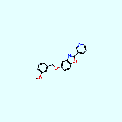 COc1cccc(COc2ccc3oc(-c4cccnc4)nc3c2)c1